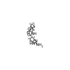 Nc1nc2cc(C(=O)NC(Cc3cccs3)C(=O)O)ccc2[nH]1